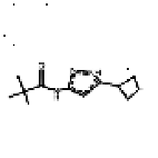 CC(C)(C)C(=O)Nc1cc(C2C[CH]C2)[nH]n1